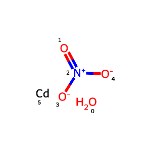 O.O=[N+]([O-])[O-].[Cd]